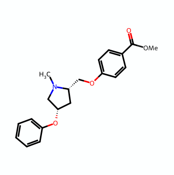 COC(=O)c1ccc(OC[C@@H]2C[C@H](Oc3ccccc3)CN2C)cc1